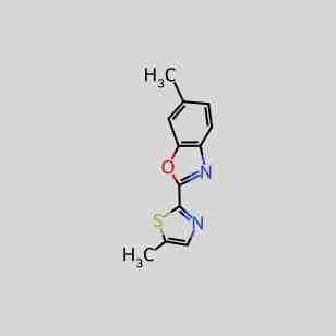 Cc1ccc2nc(-c3ncc(C)s3)oc2c1